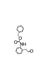 O=CCc1ccccc1NC(=O)OCc1ccccc1